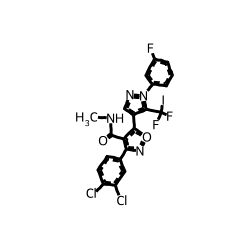 CNC(=O)c1c(-c2ccc(Cl)c(Cl)c2)noc1-c1cnn(-c2cccc(F)c2)c1C(F)(F)I